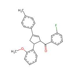 COc1ccccc1C1CC(c2ccc(C)cc2)=CC1C(=O)c1cccc(F)c1